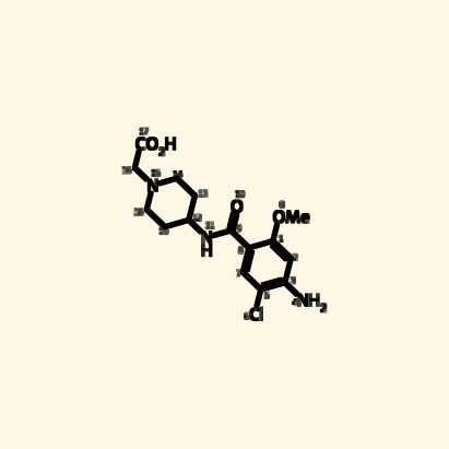 COc1cc(N)c(Cl)cc1C(=O)NC1CCN(CC(=O)O)CC1